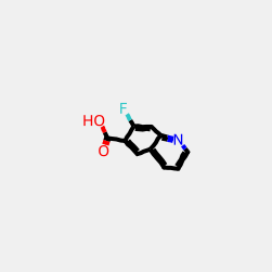 O=C(O)c1cc2cccnc2cc1F